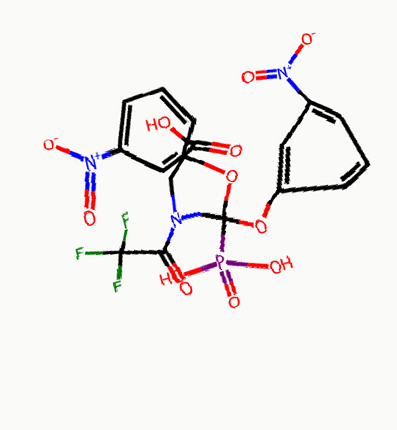 O=C(O)CN(C(=O)C(F)(F)F)C(Oc1cccc([N+](=O)[O-])c1)(Oc1cccc([N+](=O)[O-])c1)P(=O)(O)O